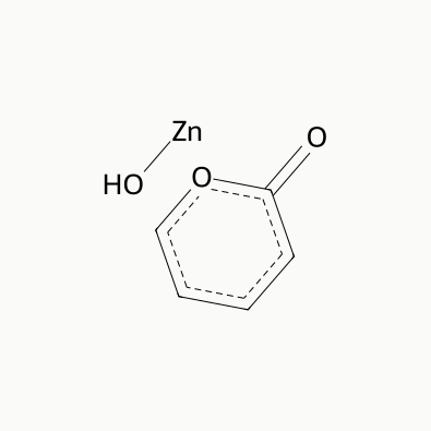 O=c1cccco1.[OH][Zn]